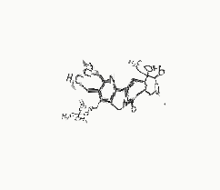 C/C=c1/c(/C=N/OC(C)(C)C)c2c(n/c1=C/C)-c1cc3c(c(=O)n1C2)COC(=O)C3(O)CC